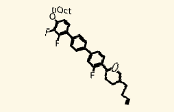 C=CCCC1CCC(c2ccc(-c3ccc(-c4ccc(OCCCCCCCC)c(F)c4F)cc3)cc2F)OC1